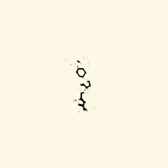 CC(C)(C)N[C@H]1CC[C@H](N2CC[C@H](NC(=O)c3cc(C(C)(C)C)c[nH]3)C2=O)CC1